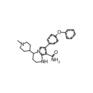 CN1CCC(C2CCNc3c(C(N)=O)c(-c4ccc(Oc5ccccc5)cc4)cn32)CC1